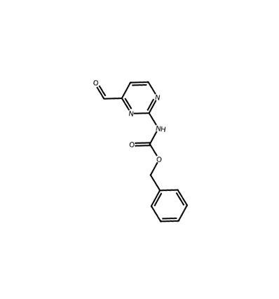 O=Cc1ccnc(NC(=O)OCc2ccccc2)n1